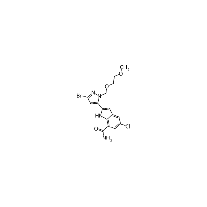 COCCOCn1nc(Br)cc1-c1cc2cc(Cl)cc(C(N)=O)c2[nH]1